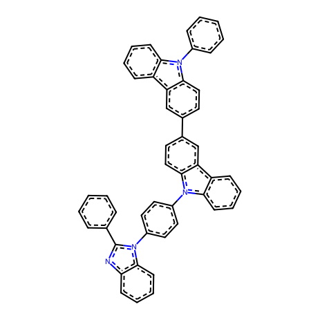 c1ccc(-c2nc3ccccc3n2-c2ccc(-n3c4ccccc4c4cc(-c5ccc6c(c5)c5ccccc5n6-c5ccccc5)ccc43)cc2)cc1